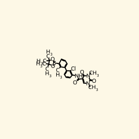 Cc1c(B2OC(C)(C)C(C)(C)O2)cccc1-c1cccc(NC(=O)c2cn(C)c(=O)n(C)c2=O)c1Cl